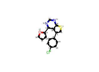 Clc1ccc(-c2csc3ncnc(-c4ccco4)c23)cc1